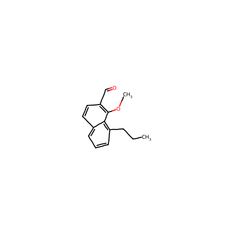 CCCc1cccc2ccc(C=O)c(OC)c12